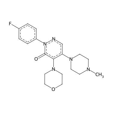 CN1CCN(c2cnn(-c3ccc(F)cc3)c(=O)c2N2CCOCC2)CC1